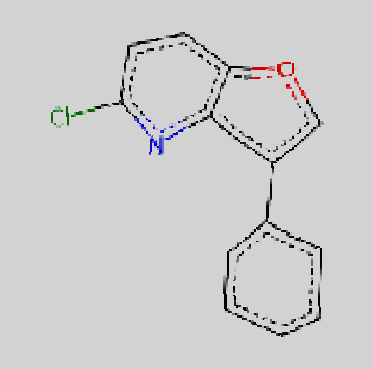 Clc1ccc2occ(-c3ccccc3)c2n1